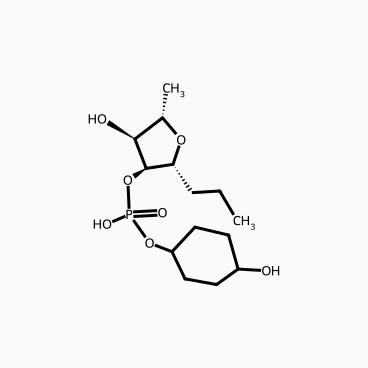 CCC[C@H]1O[C@@H](C)[C@H](O)[C@@H]1OP(=O)(O)OC1CCC(O)CC1